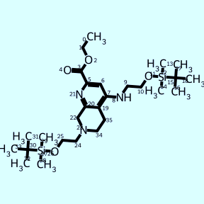 CCOC(=O)c1cc(NCCO[Si](C)(C)C(C)(C)C)c2c(n1)CN(CCO[Si](C)(C)C(C)(C)C)CC2